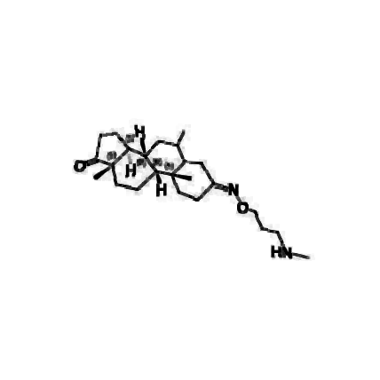 CNCCCON=C1CC[C@@]2(C)C(C1)C(C)C[C@@H]1[C@H]2CC[C@]2(C)C(=O)CC[C@@H]12